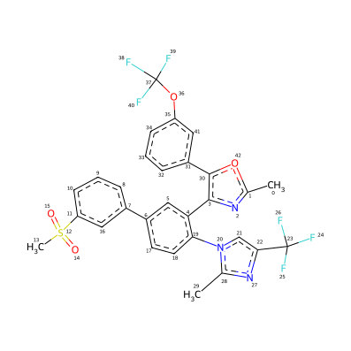 Cc1nc(-c2cc(-c3cccc(S(C)(=O)=O)c3)ccc2-n2cc(C(F)(F)F)nc2C)c(-c2cccc(OC(F)(F)F)c2)o1